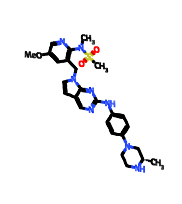 COc1cnc(N(C)S(C)(=O)=O)c(Cn2ccc3cnc(Nc4ccc(N5CCN[C@@H](C)C5)cc4)nc32)c1